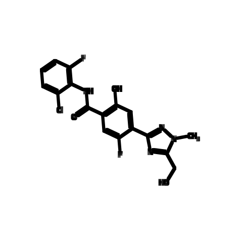 Cn1nc(-c2cc(O)c(C(=O)Nc3c(F)cccc3Cl)cc2F)nc1CO